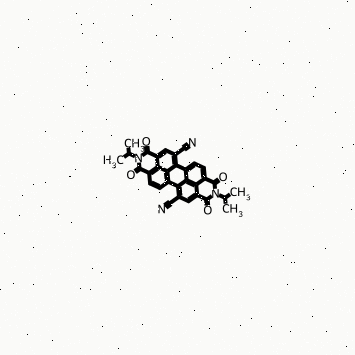 CC(C)N1C(=O)c2ccc3c4c(C#N)cc5c6c(ccc(c7c(C#N)cc(c2c37)C1=O)c64)C(=O)N(C(C)C)C5=O